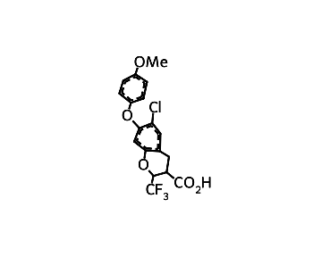 COc1ccc(Oc2cc3c(cc2Cl)CC(C(=O)O)C(C(F)(F)F)O3)cc1